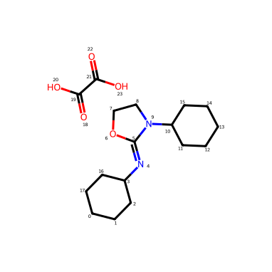 C1CCC(N=C2OCCN2C2CCCCC2)CC1.O=C(O)C(=O)O